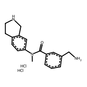 CN(C(=O)c1cccc(CN)c1)c1ccc2c(c1)CNCC2.Cl.Cl